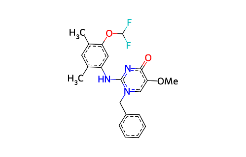 COc1cn(Cc2ccccc2)c(Nc2cc(OC(F)F)c(C)cc2C)nc1=O